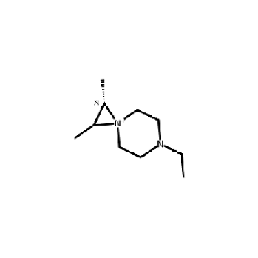 CCN1CC[N+]2(CC1)C(C)[C@@H]2C